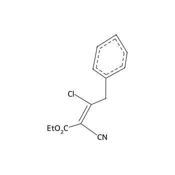 CCOC(=O)C(C#N)=C(Cl)Cc1ccccc1